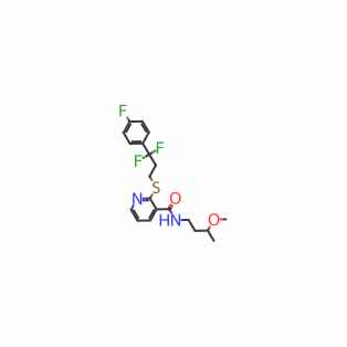 COC(C)CCNC(=O)c1cccnc1SCCC(F)(F)c1ccc(F)cc1